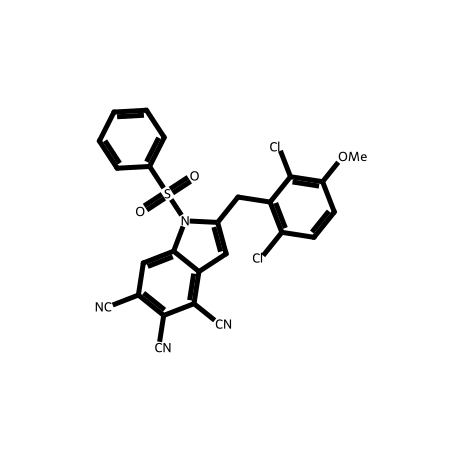 COc1ccc(Cl)c(Cc2cc3c(C#N)c(C#N)c(C#N)cc3n2S(=O)(=O)c2ccccc2)c1Cl